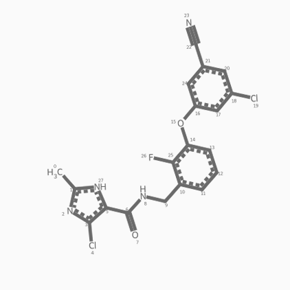 Cc1nc(Cl)c(C(=O)NCc2cccc(Oc3cc(Cl)cc(C#N)c3)c2F)[nH]1